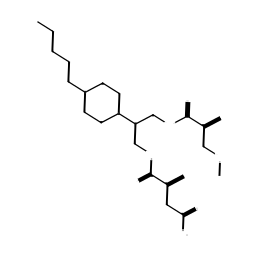 C=C(COC)C(=O)OCC(COC(=O)C(=C)CC(=O)O)C1CCC(CCCCC)CC1